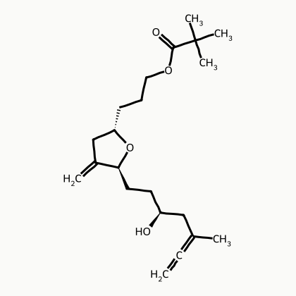 C=C=C(C)C[C@@H](O)CC[C@@H]1O[C@@H](CCCOC(=O)C(C)(C)C)CC1=C